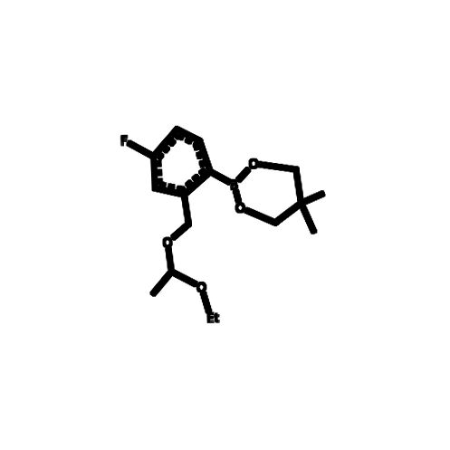 CCOC(C)OCc1cc(F)ccc1B1OCC(C)(C)CO1